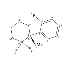 CN[C@]1(c2ccccc2F)CCCCC1(F)F